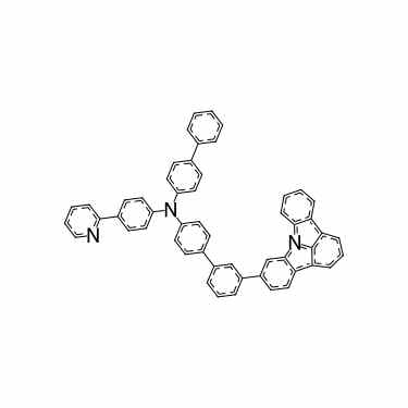 c1ccc(-c2ccc(N(c3ccc(-c4cccc(-c5ccc6c7cccc8c9ccccc9n(c6c5)c87)c4)cc3)c3ccc(-c4ccccn4)cc3)cc2)cc1